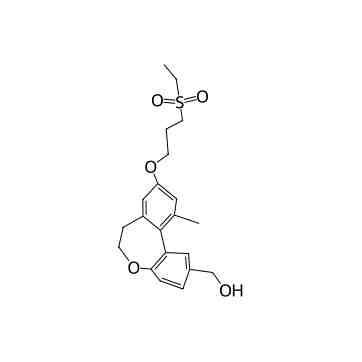 CCS(=O)(=O)CCCOc1cc(C)c2c(c1)CCOc1ccc(CO)cc1-2